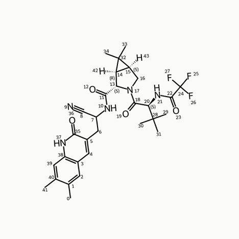 Cc1cc2cc(CC(C#N)NC(=O)[C@@H]3[C@@H]4[C@H](CN3C(=O)[C@@H](NC(=O)C(F)(F)F)C(C)(C)C)C4(C)C)c(=O)[nH]c2cc1C